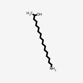 CC(O)CCCCCCCCCCCCCCCCN